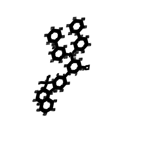 CC1(C)c2cc(-c3cc(Cl)cc(N(c4cccc(-c5ccccc5)c4)c4cccc(-c5ccccc5)c4)c3)ccc2-c2c1ccc1ccccc21